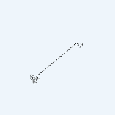 CCO[Si](CCCCCCCCCCCCCCCCCCCCCCCCCCCCCC(=O)O)(OCC)OCC